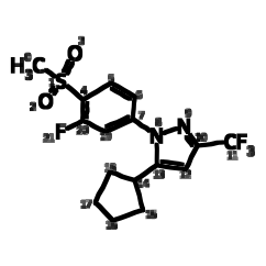 CS(=O)(=O)c1ccc(-n2nc(C(F)(F)F)cc2C2CCCC2)cc1F